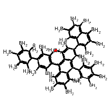 Bc1c(B)c(B)c(-c2c(B)c(B)c(-c3c4c(B)c(B)c(B)c(B)c4c(-c4c(B)c(B)c(B)c(B)c4B)c4c(B)c(-c5c(B)c(B)c(B)c6c(B)c(B)c(B)c(B)c56)c(B)c(B)c34)c(B)c2B)c(B)c1B